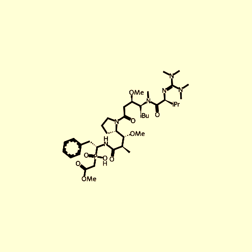 CC[C@H](C)[C@@H]([C@@H](CC(=O)N1CCC[C@H]1[C@H](OC)[C@@H](C)C(=O)N[C@@H](Cc1ccccc1)P(=O)(O)CC(=O)OC)OC)N(C)C(=O)[C@@H](N=C(N(C)C)N(C)C)C(C)C